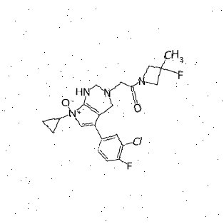 CC1(F)CN(C(=O)CN2CNC3=C(C2)C(c2ccc(F)c(Cl)c2)=C[N+]3([O-])C2CC2)C1